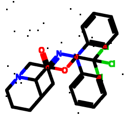 O=C(OCC(Cl)(Cl)Cl)C1C2CCCN1CC(=NN(c1ccccc1)c1ccccc1)C2